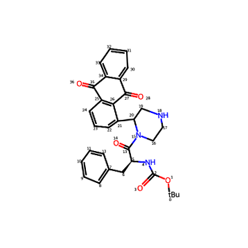 CC(C)(C)OC(=O)N[C@@H](Cc1ccccc1)C(=O)N1CCNCC1c1cccc2c1C(=O)c1ccccc1C2=O